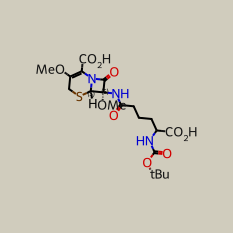 COC1=C(C(=O)O)N2C(=O)[C@](NC(=O)CCCC(NC(=O)OC(C)(C)C)C(=O)O)(OC)[C@@H]2SC1